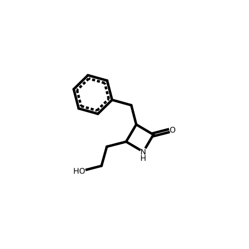 O=C1NC(CCO)C1Cc1ccccc1